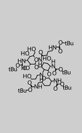 CC(C)(C)OC(=O)NCC[C@H](O)C(=O)N[C@@H]1C[C@H](NC(=O)OC(C)(C)C)C(O[C@H]2OC(CNC(=O)OC(C)(C)C)CCC2NC(=O)OC(C)(C)C)C(NCCCO)[C@H]1O[C@H]1OC(CO)[C@@H](O)[C@H](NC(=O)OC(C)(C)C)C1O